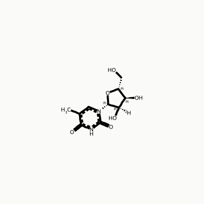 [2H][C@@]1(O)[C@H](O)[C@@H](CO)O[C@H]1n1cc(C)c(=O)[nH]c1=O